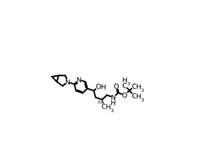 C[C@H](CNC(=O)OC(C)(C)C)CC(O)c1ccc(N2CC3CC3C2)nc1